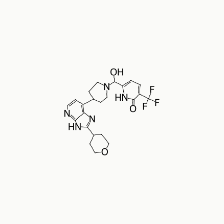 O=c1[nH]c(C(O)N2CCC(c3ccnc4[nH]c(C5CCOCC5)nc34)CC2)ccc1C(F)(F)F